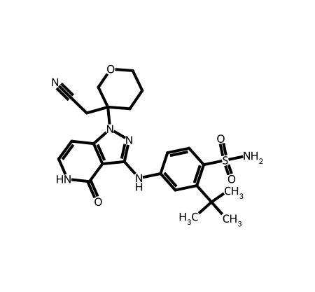 CC(C)(C)c1cc(Nc2nn(C3(CC#N)CCCOC3)c3cc[nH]c(=O)c23)ccc1S(N)(=O)=O